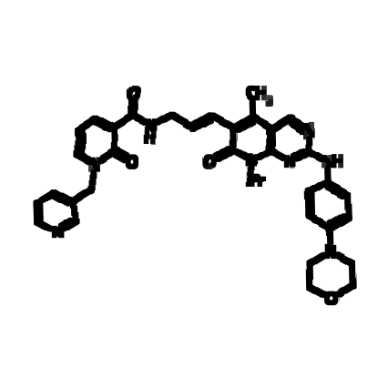 Cc1c(/C=C/CNC(=O)c2cccn(Cc3cccnc3)c2=O)c(=O)n(C(C)C)c2nc(Nc3ccc(N4CCOCC4)cc3)ncc12